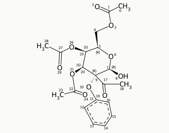 CC(=O)OC[C@H]1O[C@@H](O)[C@@](Oc2ccccc2)(C(C)=O)[C@@H](OC(C)=O)[C@H]1OC(C)=O